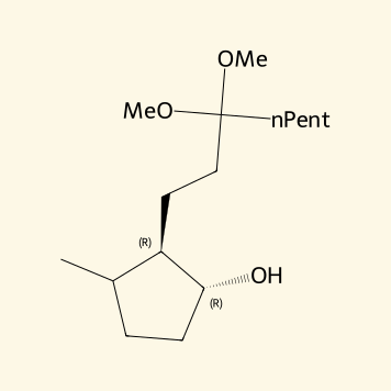 CCCCCC(CC[C@@H]1C(C)CC[C@H]1O)(OC)OC